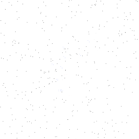 O=C(NC(C(=O)N1CCC[C@H]1c1nc(C2(c3noc([C@@H]4CCCN4C(=O)C(NC(=O)C4CC4)c4ccccc4)n3)C=CC(c3ccccc3)=CC2)c[nH]1)c1ccccc1)C1CC1